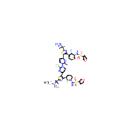 CC(C)(C)N(C(=O)O)C(C)(C)c1nc(-c2cccc(NS(=O)(=O)c3ccoc3)c2F)c(-c2ccnc(Cl)n2)s1.Cc1nccc(-c2sc(C(C)(C)N)nc2-c2cccc(NS(=O)(=O)c3ccoc3)c2F)n1